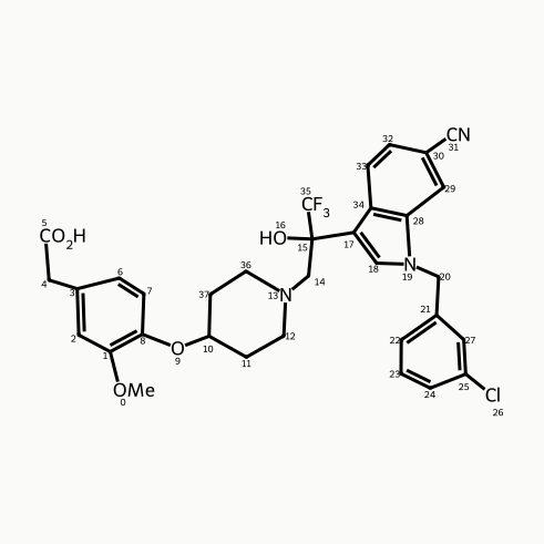 COc1cc(CC(=O)O)ccc1OC1CCN(CC(O)(c2cn(Cc3cccc(Cl)c3)c3cc(C#N)ccc23)C(F)(F)F)CC1